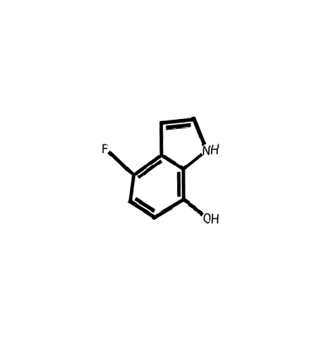 Oc1ccc(F)c2cc[nH]c12